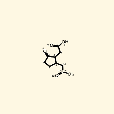 O=C(O)CC1C(=O)CCC1C[N+](=O)[O-]